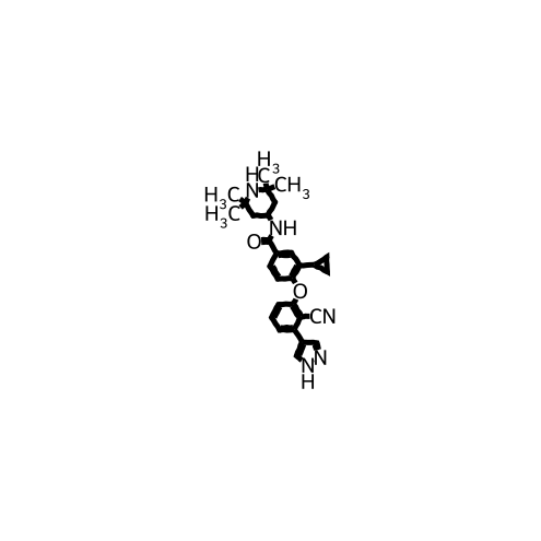 CC1(C)CC(NC(=O)c2ccc(Oc3cccc(-c4cn[nH]c4)c3C#N)c(C3CC3)c2)CC(C)(C)N1